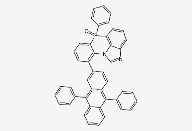 O=P1(c2ccccc2)c2cccc(-c3ccc4c(-c5ccccc5)c5ccccc5c(-c5ccccc5)c4c3)c2-n2cnc3cccc1c32